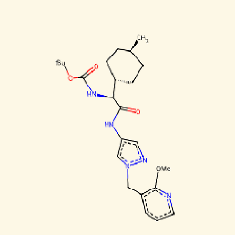 COc1ncccc1Cn1cc(NC(=O)[C@@H](NC(=O)OC(C)(C)C)[C@H]2CC[C@H](C)CC2)cn1